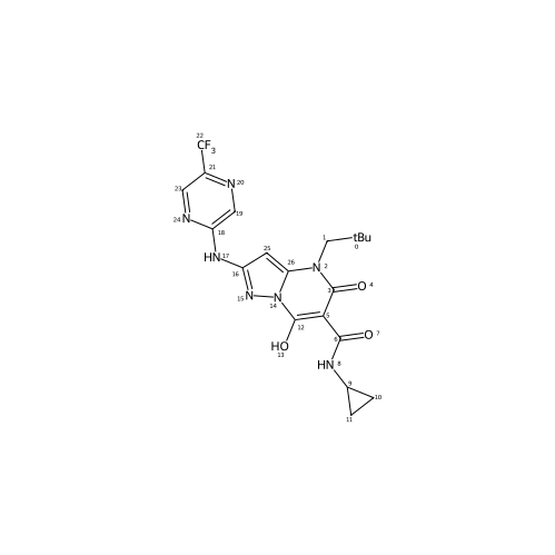 CC(C)(C)Cn1c(=O)c(C(=O)NC2CC2)c(O)n2nc(Nc3cnc(C(F)(F)F)cn3)cc12